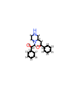 O=C(CC1CNCCN1CC(=O)c1ccccc1)c1ccccc1